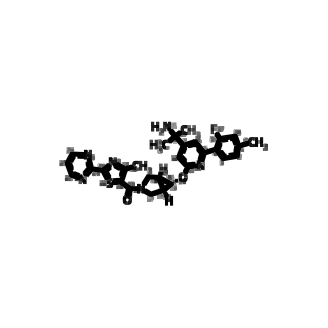 Cc1ccc(-c2cc(C(C)(C)N)cc(O[C@@H]3[C@@H]4CN(C(=O)c5sc(-c6ncccn6)nc5C)C[C@@H]43)n2)c(F)c1